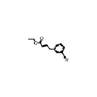 CCOC(=O)C=CCc1cccc(C#N)c1